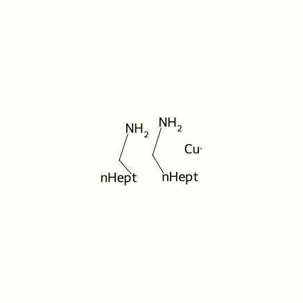 CCCCCCCCN.CCCCCCCCN.[Cu]